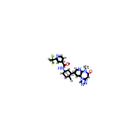 CCN1C(=O)Cc2nncn2-c2cc(C3CC(NC(=O)c4ccnc(C(C)(F)F)c4)CCC3C)cnc21